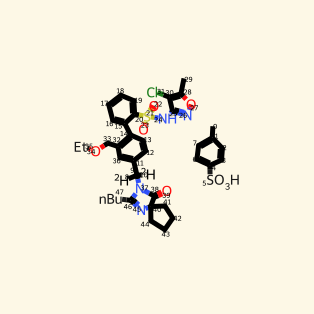 Cc1ccc(S(=O)(=O)O)cc1.[2H]C([2H])(c1ccc(-c2ccccc2S(=O)(=O)Nc2noc(C)c2Cl)c(COCC)c1)N1C(=O)C2(CCCC2)N=C1CCCC